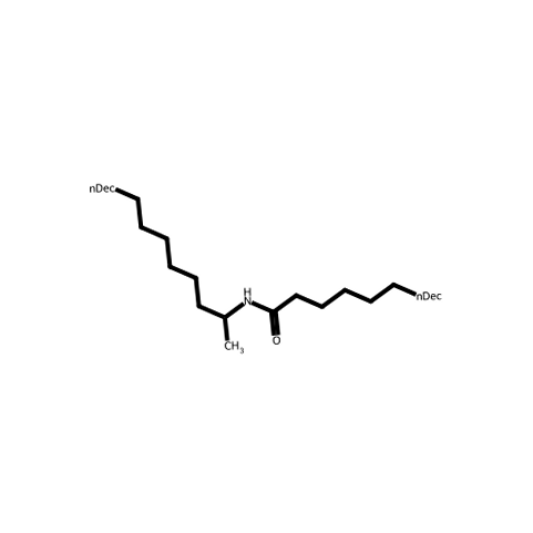 CCCCCCCCCCCCCCCCC(C)NC(=O)CCCCCCCCCCCCCCC